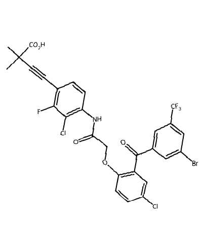 CC(C)(C#Cc1ccc(NC(=O)COc2ccc(Cl)cc2C(=O)c2cc(Br)cc(C(F)(F)F)c2)c(Cl)c1F)C(=O)O